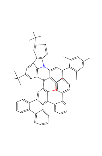 Cc1cc(C)c(-c2cc3c4c(c2)-n2c5ccc(C(C)(C)C)cc5c5cc(C(C)(C)C)cc(c52)B4c2cc(-c4ccccc4-c4ccccc4)cc(-c4ccccc4-c4ccccc4)c2O3)c(C)c1